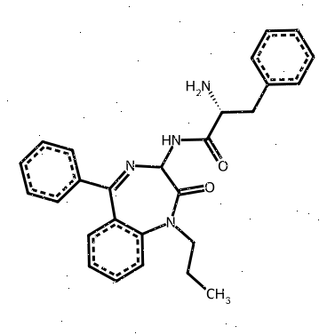 CCCN1C(=O)C(NC(=O)[C@H](N)Cc2ccccc2)N=C(c2ccccc2)c2ccccc21